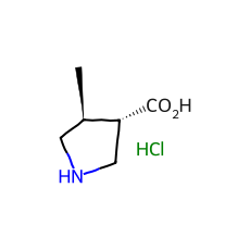 C[C@@H]1CNC[C@H]1C(=O)O.Cl